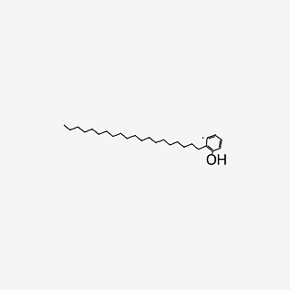 CCCCCCCCCCCCCCCCCCCCc1[c]cccc1O